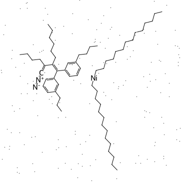 CCCCCCC(C(=C=[N+]=[N-])CCCC)=C(c1cccc(CCC)c1)c1cccc(CCCC)c1.CCCCCCCCCCCCC[CH2][Ni][CH2]CCCCCCCCCCCCC